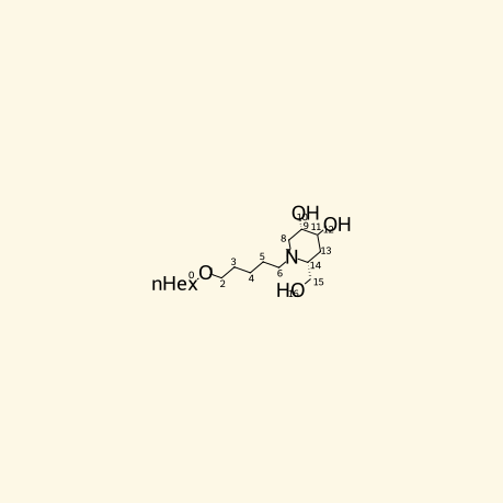 CCCCCCOCCCCCN1C[C@H](O)C(O)C[C@@H]1CO